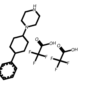 O=C(O)C(F)(F)F.O=C(O)C(F)(F)F.c1ccc(C2CCC(N3CCNCC3)CC2)cc1